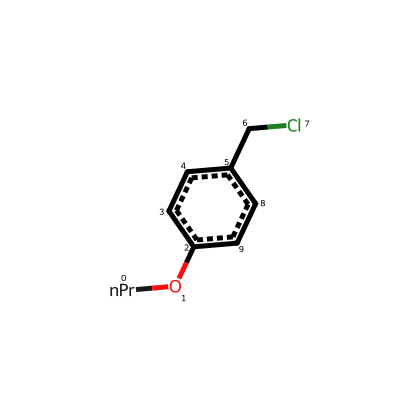 CCCOc1ccc(CCl)cc1